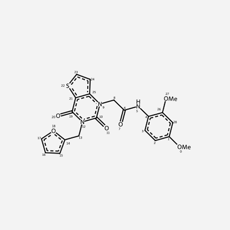 COc1ccc(NC(=O)Cn2c(=O)n(Cc3ccco3)c(=O)c3sccc32)c(OC)c1